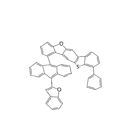 c1ccc(-c2cccc3c2sc2cc4c(cc23)oc2cccc(-c3c5ccccc5c(-c5cc6ccccc6o5)c5ccccc35)c24)cc1